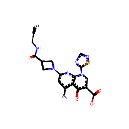 C#CCNC(=O)C1CN(c2cc(C)c3c(=O)c(C(=O)O)cn(-c4ncns4)c3n2)C1